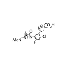 CNCSN(C)C(=O)Nc1cc(C2=NOC(C)(C(=O)O)C2)c(Cl)cc1F